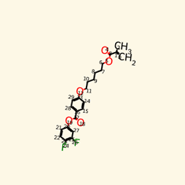 C=C(C)C(=O)OCCCCCCOc1ccc(C(=O)Oc2ccc(F)c(F)c2)cc1